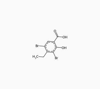 CCc1c(Br)cc(C(=O)O)c(O)c1Br